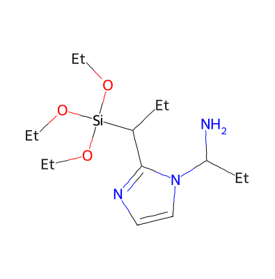 CCO[Si](OCC)(OCC)C(CC)c1nccn1C(N)CC